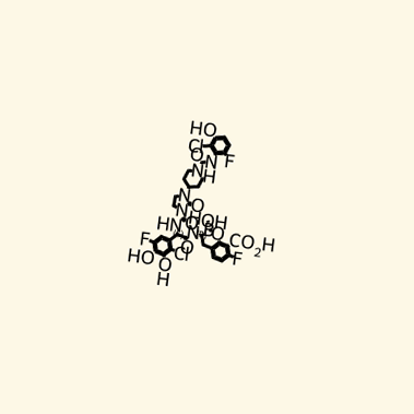 O=C(O)c1c(F)ccc2c1OB(O)[C@@H](NC(=O)[C@@H](NC(=O)N1CCN(C3CCN(C(=O)Nc4c(F)ccc(O)c4Cl)CC3)C1=O)c1cc(F)c(O)c(O)c1Cl)C2